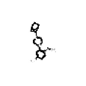 COc1ccc(C)cc1N1CCN(C2CC3CCC2C3)CC1